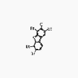 CCc1cc2c(sc3c(CC)c(Br)ccc32)c(CC)c1Cl